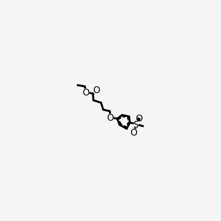 CCOC(=O)CCCCOc1ccc(S(C)(=O)=O)cc1